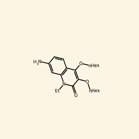 CCCCCCOc1c(OCCCCCC)c2ccc(N)cc2n(CC)c1=O